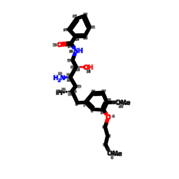 COCCCOc1cc(C[C@@H](C[C@H](N)[C@@H](O)CNC(=O)c2ccccc2)C(C)C)ccc1OC